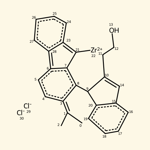 CC(C)=c1ccc2c(c1C1C(CCO)=Cc3ccccc31)[C]([Zr+2])=c1ccccc1=2.[Cl-].[Cl-]